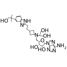 CC(C)(CO)c1ccc2[nH]c(CCC3CC(N(C[C@H]4O[C@@H](n5cnc6c(N)ncnc65)[C@H](O)[C@@H]4O)C(CO)CO)C3)nc2c1